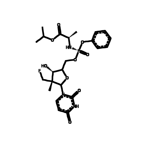 CC(C)OC(=O)[C@H](C)N[P@](=O)(OCC1OC(n2ccc(=O)[nH]c2=O)[C@](C)(CF)[C@@H]1O)Oc1ccccc1